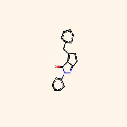 O=C1C2=C(Cc3ccccc3)C=CC2=NN1c1ccccc1